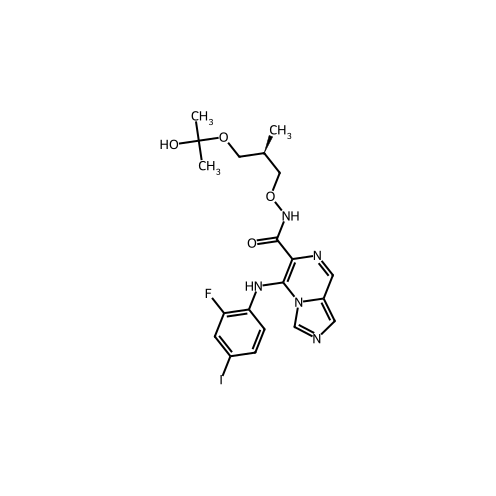 C[C@@H](CONC(=O)c1ncc2cncn2c1Nc1ccc(I)cc1F)COC(C)(C)O